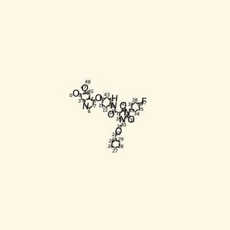 COc1cc2nccc(Oc3ccc(NC(=O)c4cn(CCOCc5ccccc5)c(=O)n(-c5ccc(F)cc5)c4=O)cc3)c2cc1OC